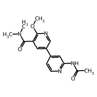 COc1ncc(-c2ccnc(NC(C)=O)c2)cc1C(=O)N(C)C